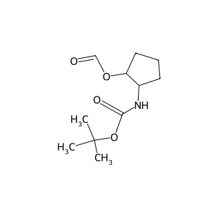 CC(C)(C)OC(=O)NC1CCCC1OC=O